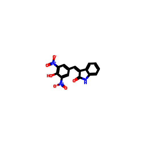 O=C1Nc2ccccc2C1=Cc1cc([N+](=O)[O-])c(O)c([N+](=O)[O-])c1